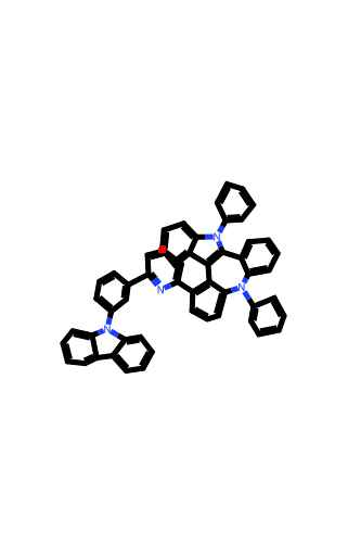 c1ccc(N2c3ccccc3-c3c(c4ccccc4n3-c3ccccc3)-c3c(-c4cccc(-c5cccc(-n6c7ccccc7c7ccccc76)c5)n4)cccc32)cc1